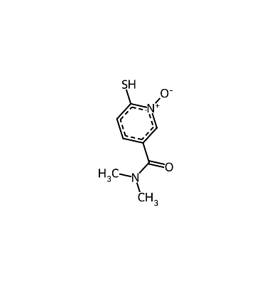 CN(C)C(=O)c1ccc(S)[n+]([O-])c1